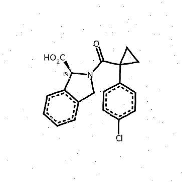 O=C(O)[C@@H]1c2ccccc2CN1C(=O)C1(c2ccc(Cl)cc2)CC1